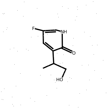 CC(CO)c1cc(F)c[nH]c1=O